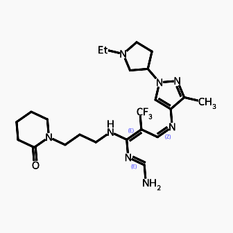 CCN1CCC(n2cc(\N=C/C(=C(\N=C\N)NCCCN3CCCCC3=O)C(F)(F)F)c(C)n2)C1